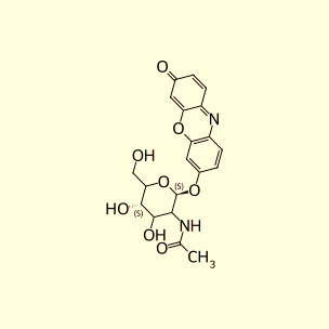 CC(=O)NC1C(O)[C@H](O)C(CO)O[C@H]1Oc1ccc2nc3ccc(=O)cc-3oc2c1